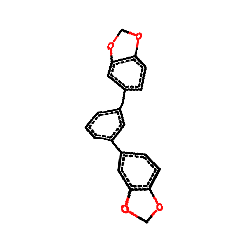 c1cc(-c2ccc3c(c2)OCO3)cc(-c2ccc3c(c2)OCO3)c1